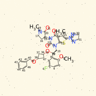 COc1ccc(F)cc1[C@H](Cn1c(=O)n([C@@H]2CCN(C)C2=O)c(=O)c2c(C)c(-n3nccn3)sc21)OC1CC(OCc2ccccc2)C1